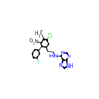 Cc1c(Cl)cc(CCNc2ncnc3[nH]cnc23)c(-c2cccc(F)c2)c1[N+](=O)[O-]